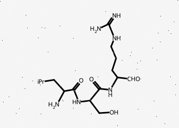 CC(C)CC(N)C(=O)NC(CO)C(=O)NC([C]=O)CCCNC(=N)N